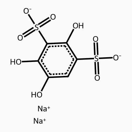 O=S(=O)([O-])c1cc(O)c(O)c(S(=O)(=O)[O-])c1O.[Na+].[Na+]